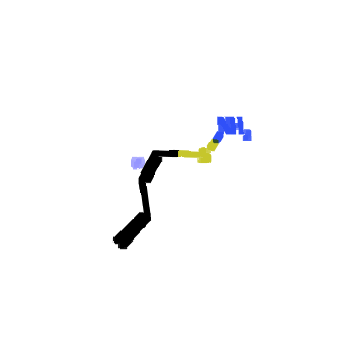 C=C/C=C\SN